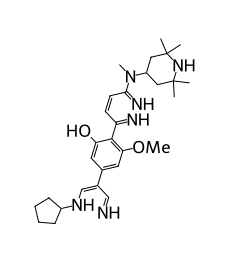 COc1cc(/C(C=N)=C/NC2CCCC2)cc(O)c1C(=N)/C=C\C(=N)N(C)C1CC(C)(C)NC(C)(C)C1